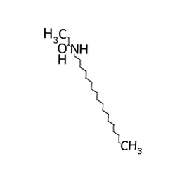 CCCCCCCCCCCCCCCCCCN[C@@H](O)CC